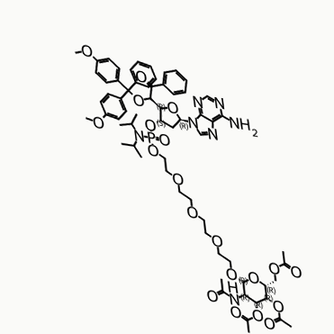 COc1ccc(C(OC(C(=O)c2ccccc2)[C@H]2O[C@@H](n3cnc4c(N)ncnc43)C[C@@H]2OP(=O)(OCCOCCOCCOCCO[C@@H]2O[C@H](COC(C)=O)[C@H](OC(C)=O)[C@H](OC(C)=O)[C@H]2NC(C)=O)N(C(C)C)C(C)C)(c2ccccc2)c2ccc(OC)cc2)cc1